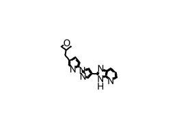 c1cnc2[nH]c(-c3cnn(-c4ccc(CC5COC5)cn4)c3)nc2c1